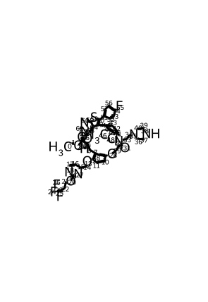 CCOC(=O)[C@H]1Cc2cc(ccc2OCc2ccnc(OCCC(F)(F)F)n2)OCC(=O)N(CCN2CCNCC2)c2ccc(c(C)c2Cl)-c2c(-c3ccc(F)cc3)sc3ncnc(c23)O1